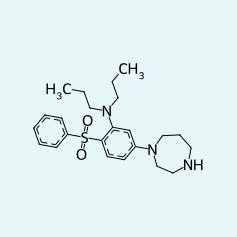 CCCN(CCC)c1cc(N2CCCNCC2)ccc1S(=O)(=O)c1ccccc1